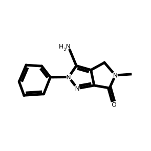 CN1Cc2c(nn(-c3ccccc3)c2N)C1=O